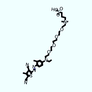 CCN(CCOCCOCCOCCOCC[N+](C)(C)CCCS(=O)(=O)O)c1ccc(/N=N/c2sc(C#N)c(C)c2C#N)c(C)c1